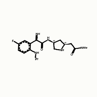 CNC(=O)C[C@@H]1C[C@H](NC(=O)C(=N)c2cc(F)ccc2NC(C)C)CN1